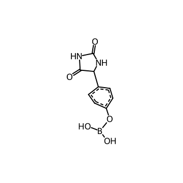 O=C1NC(=O)C(c2ccc(OB(O)O)cc2)N1